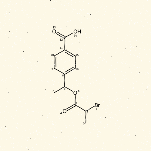 CC(Br)C(=O)OC(C)c1ccc(C(=O)O)cc1